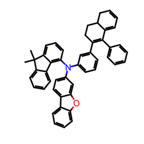 CC1(C)c2ccccc2-c2c(N(c3cccc(C4=C(c5ccccc5)C5=CC=CCC5CC4)c3)c3ccc4c(c3)oc3ccccc34)cccc21